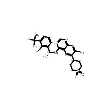 Cc1nc2ncnc(N[C@H](C)c3cccc(C(C)(C)F)c3F)c2cc1C1CCS(=O)(=O)CC1